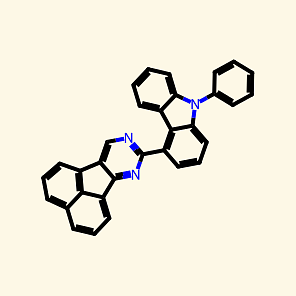 c1ccc(-n2c3ccccc3c3c(-c4ncc5c(n4)-c4cccc6cccc-5c46)cccc32)cc1